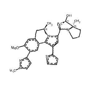 COc1cc2c(cc1-c1ccn(C)n1)-c1c(-c3cccs3)cc(C(=O)N3CCC[C@]3(C)[C@H](O)C(F)(F)F)n1[C@H](C)C2